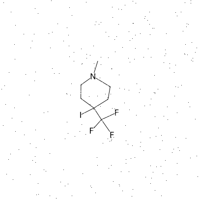 CN1CCC(I)(C(F)(F)F)CC1